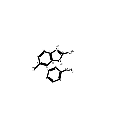 Cc1ccccc1.Clc1ccc2nc(Cl)oc2c1